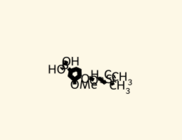 COc1cc(B(O)O)ccc1OCOCC[Si](C)(C)C